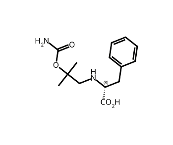 CC(C)(CN[C@H](Cc1ccccc1)C(=O)O)OC(N)=O